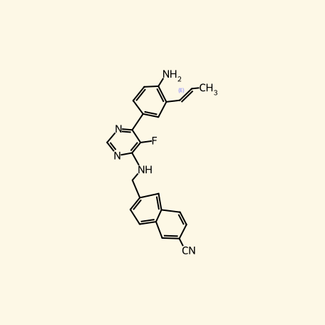 C/C=C/c1cc(-c2ncnc(NCc3ccc4cc(C#N)ccc4c3)c2F)ccc1N